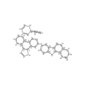 C1=Cc2c(c3ccccc3c3ccccc23)C1.[N-]=[N+]=C1C=CC=CC1.c1ccc2c(c1)Cc1c-2ccc2ccncc12